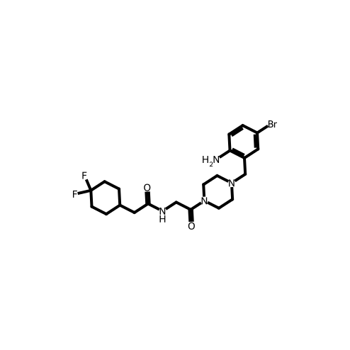 Nc1ccc(Br)cc1CN1CCN(C(=O)CNC(=O)CC2CCC(F)(F)CC2)CC1